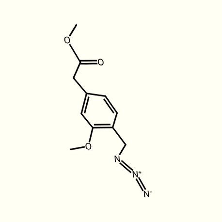 COC(=O)Cc1ccc(CN=[N+]=[N-])c(OC)c1